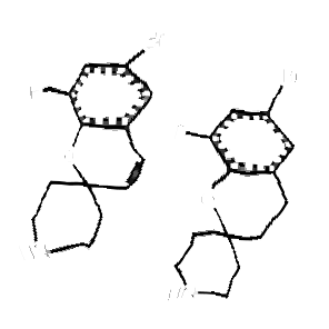 Fc1cc(Br)cc2c1OC1(C=C2)CCNCC1.Fc1cc(Br)cc2c1OC1(CCNCC1)CC2